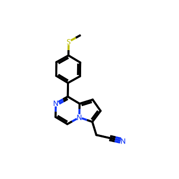 CSc1ccc(-c2nccn3c(CC#N)ccc23)cc1